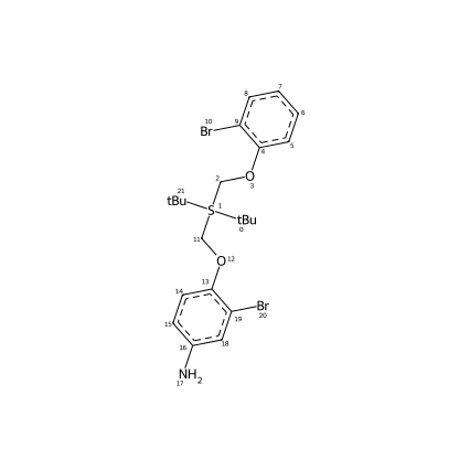 CC(C)(C)S(COc1ccccc1Br)(COc1ccc(N)cc1Br)C(C)(C)C